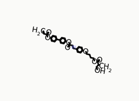 C=CC(=O)Oc1ccc(-c2ccc(OC(=O)/C=C/c3ccc(OCCCCOC(=O)C(=C)CO)cc3)cc2)cc1